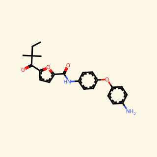 CCC(C)(C)C(=O)c1ccc(C(=O)Nc2ccc(Oc3ccc(N)cc3)cc2)o1